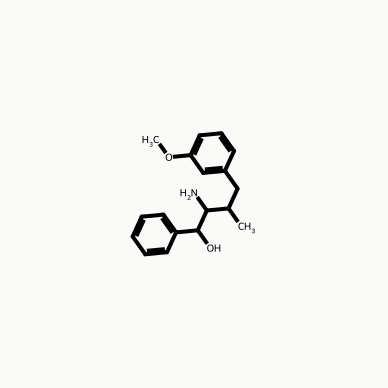 COc1cccc(CC(C)C(N)C(O)c2ccccc2)c1